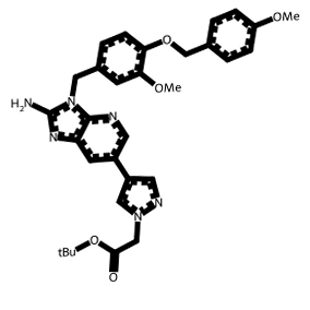 COc1ccc(COc2ccc(Cn3c(N)nc4cc(-c5cnn(CC(=O)OC(C)(C)C)c5)cnc43)cc2OC)cc1